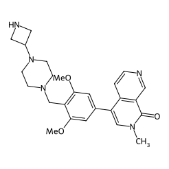 COc1cc(-c2cn(C)c(=O)c3cnccc23)cc(OC)c1CN1CCN(C2CNC2)CC1